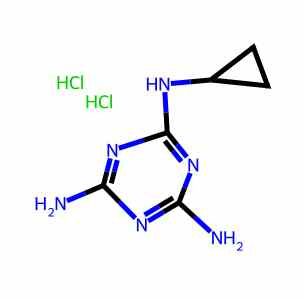 Cl.Cl.Nc1nc(N)nc(NC2CC2)n1